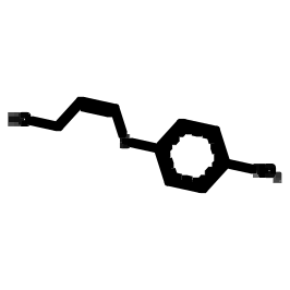 O=[N+]([O-])c1ccc(S/C=C\CO)cc1